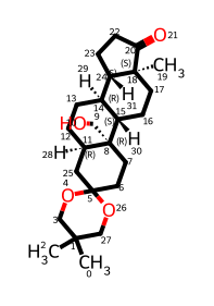 CC1(C)COC2(CC[C@@]3(CO)[C@H](CC[C@@H]4[C@@H]3CC[C@]3(C)C(=O)CC[C@@H]43)C2)OC1